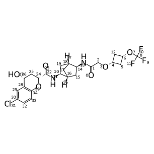 O=C(CO[C@H]1C[C@@H](OC(F)(F)F)C1)N[C@H]1C[C@H]2C[C@@H]1C[C@@H]2NC(=O)[C@H]1C[C@@H](O)c2cc(Cl)ccc2O1